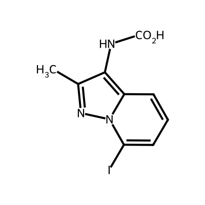 Cc1nn2c(I)cccc2c1NC(=O)O